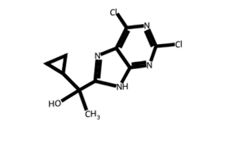 CC(O)(c1nc2c(Cl)nc(Cl)nc2[nH]1)C1CC1